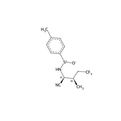 Cc1ccc([S+]([O-])N[C@H](C#N)[C@H](C)CC(F)(F)F)cc1